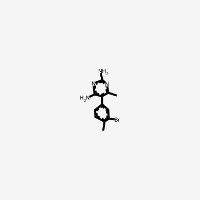 Cc1ccc(-c2c(C)nc(N)nc2N)cc1Br